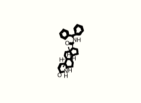 C[C@]12C=CC(=O)N[C@@H]1CC[C@@H]1[C@@H]2CC[C@]2(C)[C@@H](C(=O)NC(c3ccccc3)c3ccccc3)CC[C@@H]12